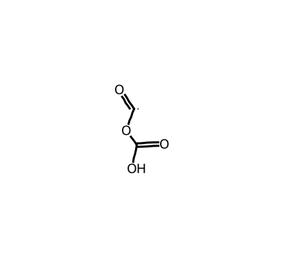 O=[C]OC(=O)O